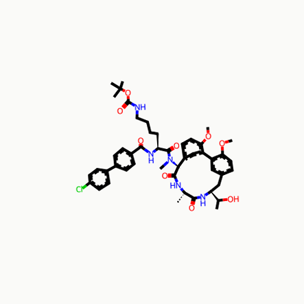 COc1ccc2cc1-c1cc(ccc1OC)[C@H](N(C)C(=O)[C@H](CCCCNC(=O)OC(C)(C)C)NC(=O)c1ccc(-c3ccc(Cl)cc3)cc1)C(=O)N[C@@H](C)C(=O)N[C@H](C(C)O)C2